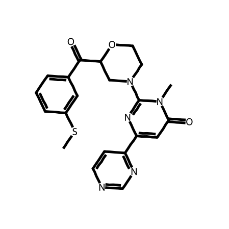 CSc1cccc(C(=O)C2CN(c3nc(-c4ccncn4)cc(=O)n3C)CCO2)c1